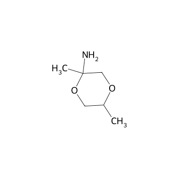 CC1COC(C)(N)CO1